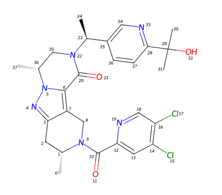 C[C@@H]1Cc2nn3c(c2CN1C(=O)c1cc(Cl)c(Cl)cn1)C(=O)N([C@@H](C)c1ccc(C(C)(C)O)nc1)C[C@H]3C